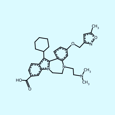 Cc1cc(COc2ccc3c(c2)N(CCN(C)C)CCn2c-3c(C3CCCCC3)c3ccc(C(=O)O)cc32)no1